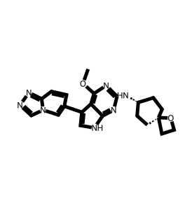 COc1nc(N[C@H]2CC[C@]3(CCO3)CC2)nc2[nH]cc(-c3ccc4nncn4c3)c12